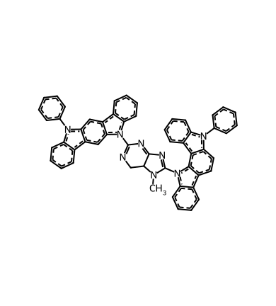 CN1C(n2c3ccccc3c3ccc4c(c5ccccc5n4-c4ccccc4)c32)=NC2=NC(n3c4ccccc4c4cc5c(cc43)c3ccccc3n5-c3ccccc3)=NCC21